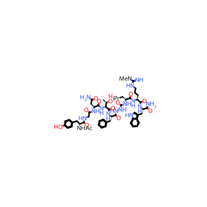 CNC(=N)NCCC[C@H](NC(=O)[C@H](CC(C)C)NC(=O)NNC(=O)[C@H](Cc1ccccc1)NC(=O)[C@@H](NC(=O)[C@H](CC(N)=O)NC(=O)CNC(=O)[C@@H](Cc1ccc(O)cc1)NC(C)=O)[C@@H](C)O)C(=O)N[C@@H](Cc1c[nH]c2ccccc12)C(N)=O